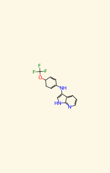 FC(F)(F)OC1C=CC(Nc2c[nH]c3ncccc23)=CC1